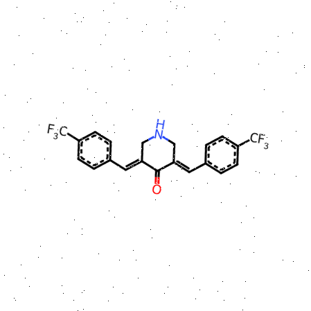 O=C1C(=Cc2ccc(C(F)(F)F)cc2)CNCC1=Cc1ccc(C(F)(F)F)cc1